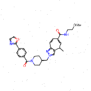 COCCNC(=O)C1=CC(C)c2cn(CC3CCN(C(=O)c4ccc(-c5ncco5)cc4)CC3)nc2C=C1